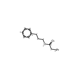 [CH2]C(C)CC(=O)OCCCc1ccccc1